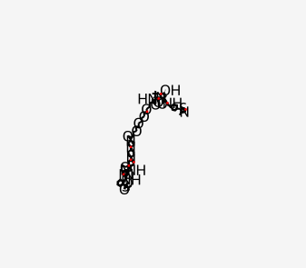 COc1cc(N2CCC(N3CCN(C(=O)CCOCCOCCOCCOCCC(=O)N[C@H](C(=O)N4C[C@H](O)C[C@H]4C(=O)NCc4ccc(-c5scnc5C)cc4)C(C)(C)C)CC3)CC2)ccc1Nc1ncnc(Nc2ccccc2S(=O)(=O)C(C)C)n1